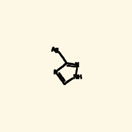 [Ag][c]1nc[nH]n1